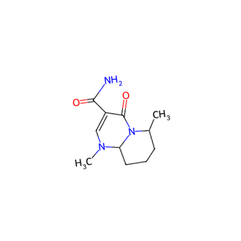 CC1CCCC2N(C)C=C(C(N)=O)C(=O)N12